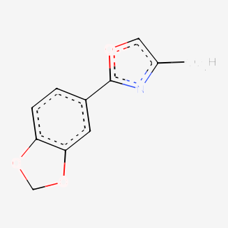 O=C(O)c1coc(-c2ccc3c(c2)OCO3)n1